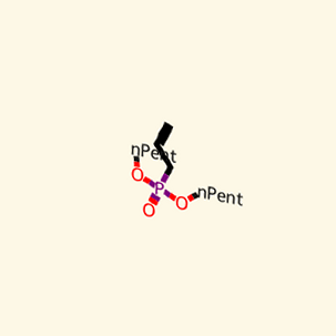 C=CCP(=O)(OCCCCC)OCCCCC